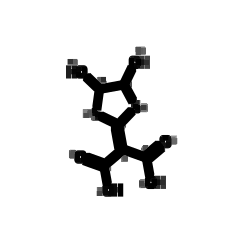 O=C(O)C(C(=O)O)=C1SC(O)C(O)S1